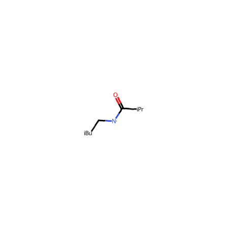 CCC(C)C[N]C(=O)C(C)C